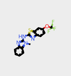 Cn1c(Nc2nc3ccc(OC(F)(F)F)cc3s2)nc2ccccc21